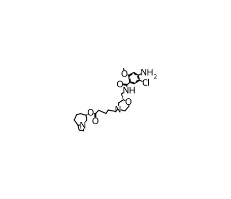 COc1cc(N)c(Cl)cc1C(=O)NC[C@@H]1CN(CCCCC(=O)O[C@@H]2CCCC3CCN3C2)CCO1